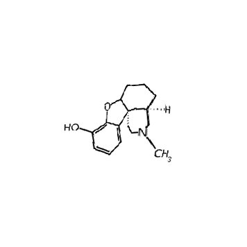 CN1CC[C@]23c4cccc(O)c4OC2CCC[C@H]3C1